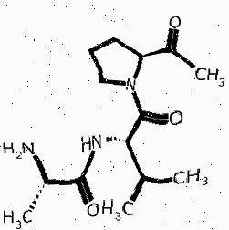 CC(=O)[C@@H]1CCCN1C(=O)[C@@H](NC(=O)[C@H](C)N)C(C)C